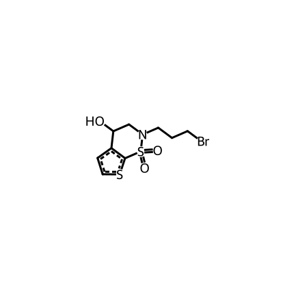 O=S1(=O)c2sccc2C(O)CN1CCCBr